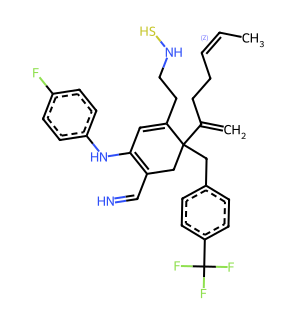 C=C(CC/C=C\C)C1(Cc2ccc(C(F)(F)F)cc2)CC(C=N)=C(Nc2ccc(F)cc2)C=C1CCNS